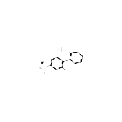 O=S(=O)(Cl)c1ccc(-c2ccccc2O)c(F)c1